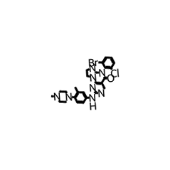 Cc1cc(Nc2ncc3c(n2)N2CCN=C2N(c2c(Cl)cccc2Br)C3=O)ccc1N1CCN(C)CC1